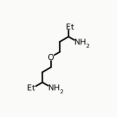 CCC(N)CCOCCC(N)CC